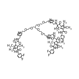 Cc1c(C(=O)C(=O)NCc2cn(CCOCCOCC(COCCOCCn3cc(CNC(=O)C(=O)c4c(C)c(C(=O)Nc5ccc(F)c(F)c5)n(C)c4C)nn3)COCCOCCn3cc(CNC(=O)C(=O)c4c(C)c(C(=O)Nc5ccc(F)c(F)c5)n(C)c4C)nn3)nn2)c(C)n(C)c1C(=O)Nc1ccc(F)c(F)c1